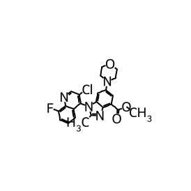 COC(=O)c1cc(N2CCOCC2)cc2c1nc(C)n2-c1c(Cl)cnc2c(F)cccc12